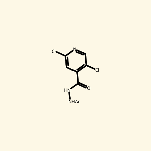 CC(=O)NNC(=O)c1cc(Cl)ncc1Cl